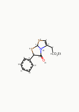 CCOC(=O)CC1=CSC2SC(c3ccccc3)C(=O)N12